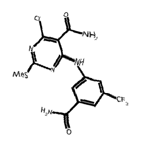 CSc1nc(Cl)c(C(N)=O)c(Nc2cc(C(N)=O)cc(C(F)(F)F)c2)n1